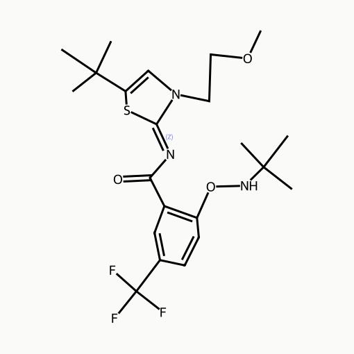 COCCn1cc(C(C)(C)C)s/c1=N\C(=O)c1cc(C(F)(F)F)ccc1ONC(C)(C)C